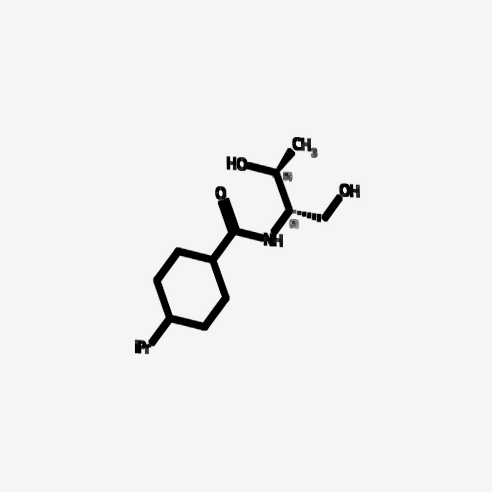 CC(C)C1CCC(C(=O)N[C@@H](CO)[C@H](C)O)CC1